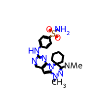 CNC1=NN(C)c2cc3cnc(Nc4ccc(S(N)(=O)=O)cc4)nc3n2C12CCCCC2